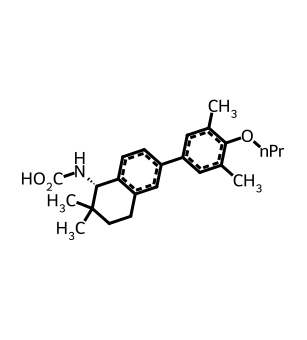 CCCOc1c(C)cc(-c2ccc3c(c2)CCC(C)(C)[C@@H]3NC(=O)O)cc1C